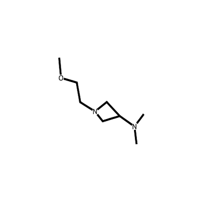 COCCN1CC(N(C)C)C1